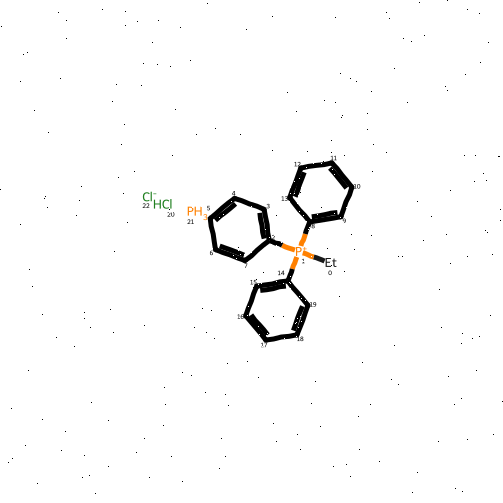 CC[P+](c1ccccc1)(c1ccccc1)c1ccccc1.Cl.P.[Cl-]